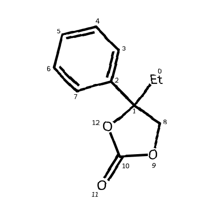 CCC1(c2ccccc2)COC(=O)O1